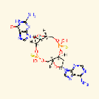 Nc1nc2c(ncn2[C@@H]2O[C@@H]3COP(O)(=S)O[C@H]4C[C@H](n5cnc6c(N)ncnc65)O[C@@H]4COP(O)(=S)O[C@@H]2[C@@H]3F)c(=O)[nH]1